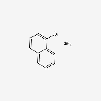 Brc1cccc2ccccc12.[SiH4]